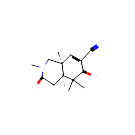 CN1C[C@]2(C)C=C(C#N)C(=O)C(C)(C)[C@H]2CC1=O